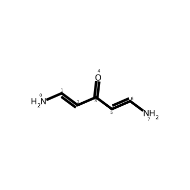 N/C=C/C(=O)/C=C/N